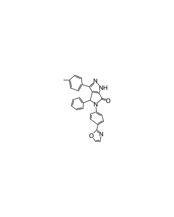 Cc1ccc(-c2n[nH]c3c2C(c2ccccc2)N(c2ccc(-c4ncco4)cc2)C3=O)cc1